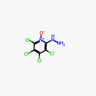 NNc1c(Cl)c(Cl)c(Cl)c(Cl)[n+]1[O-]